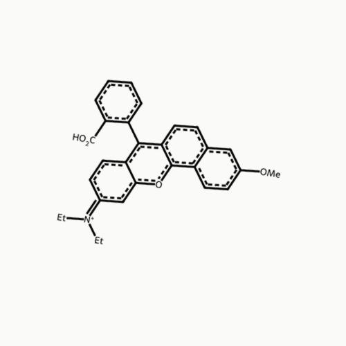 CC[N+](CC)=c1ccc2c(-c3ccccc3C(=O)O)c3ccc4cc(OC)ccc4c3oc-2c1